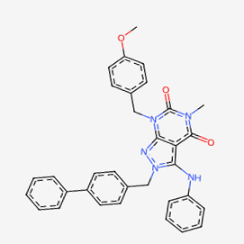 COc1ccc(Cn2c(=O)n(C)c(=O)c3c(Nc4ccccc4)n(Cc4ccc(-c5ccccc5)cc4)nc32)cc1